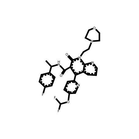 CC(NC(=O)c1c(-c2ccc(OC(F)F)cn2)c2cccnc2n(CCN2CCOCC2)c1=O)c1ccc(F)cc1